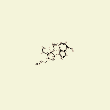 CCCCOC[C@H]1O[C@@H](c2occ3c(Cl)ncnc23)[C@](C)(OCCCC)[C@@H]1OCCCC